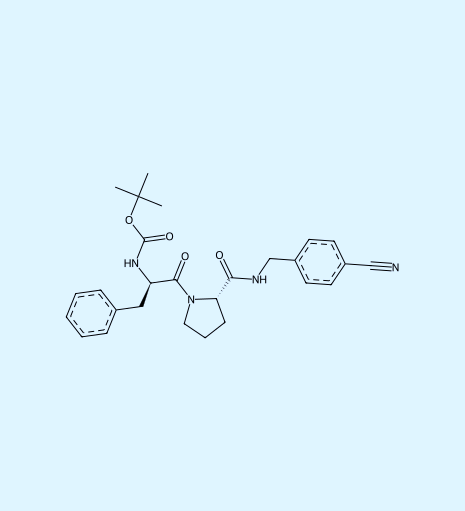 CC(C)(C)OC(=O)N[C@H](Cc1ccccc1)C(=O)N1CCC[C@H]1C(=O)NCc1ccc(C#N)cc1